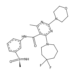 Cc1nc(N2CCOCC2)nc(N2CCCC(F)(F)CC2)c1C(=O)Nc1cccc([S@](C)(=N)=O)c1